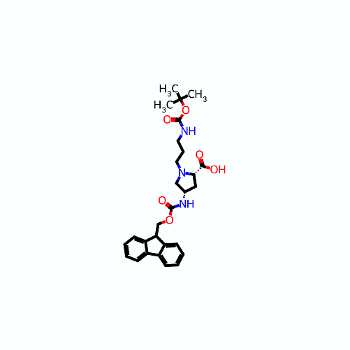 CC(C)(C)OC(=O)NCCCN1C[C@@H](NC(=O)OCC2c3ccccc3-c3ccccc32)C[C@H]1C(=O)O